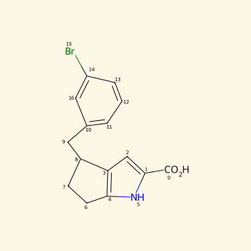 O=C(O)c1cc2c([nH]1)CCC2Cc1cccc(Br)c1